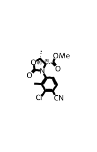 COC(=O)[C@H]1[C@@H](C)OC(=O)N1c1ccc(C#N)c(Cl)c1C